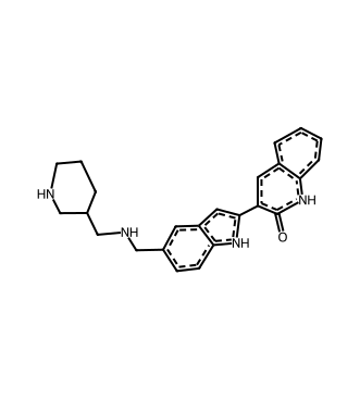 O=c1[nH]c2ccccc2cc1-c1cc2cc(CNCC3CCCNC3)ccc2[nH]1